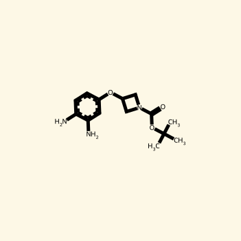 CC(C)(C)OC(=O)N1CC(Oc2ccc(N)c(N)c2)C1